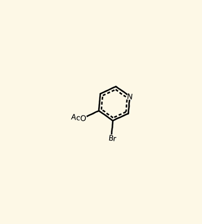 CC(=O)Oc1ccncc1Br